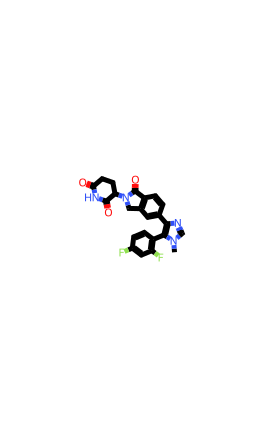 Cn1cnc(-c2ccc3c(c2)CN(C2CCC(=O)NC2=O)C3=O)c1-c1ccc(F)cc1F